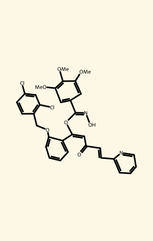 COc1cc(C(=NO)OC(=CC(=O)C=Cc2ccccn2)c2ccccc2OCc2ccc(Cl)cc2Cl)cc(OC)c1OC